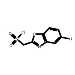 O=S(=O)(Cl)Cc1nc2cc(Cl)ccc2o1